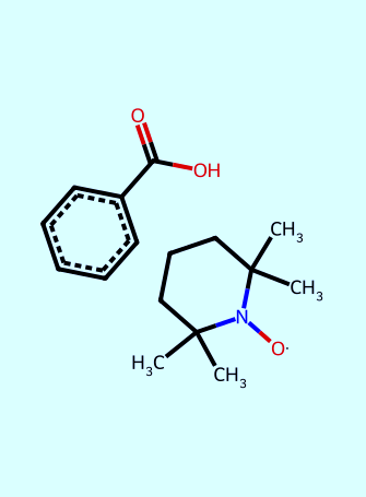 CC1(C)CCCC(C)(C)N1[O].O=C(O)c1ccccc1